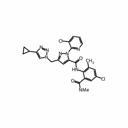 CNC(=O)c1cc(Cl)cc(C)c1NC(=O)c1cc(Cn2cc(C3CC3)nn2)nn1-c1ncccc1Cl